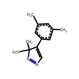 CC(=O)OC1(C)N=NC=C1c1cc(C)cc(C)c1